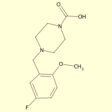 COc1ccc(F)cc1CN1CCN(C(=O)O)CC1